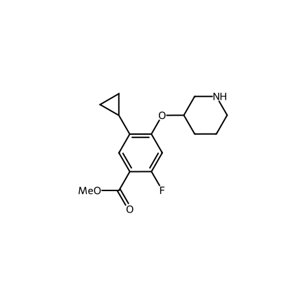 COC(=O)c1cc(C2CC2)c(OC2CCCNC2)cc1F